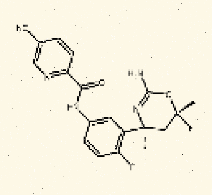 C[C@@]1(F)C[C@@](C)(c2cc(NC(=O)c3ccc(C#N)cn3)ccc2F)N=C(N)O1